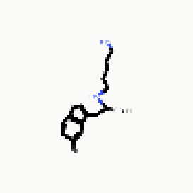 NCCCCCNC(CC1=CCc2ccc(N=O)cc21)C(=O)O